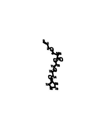 C=CCOCC(=C)C(=O)OCCOCCOC1CCCC1